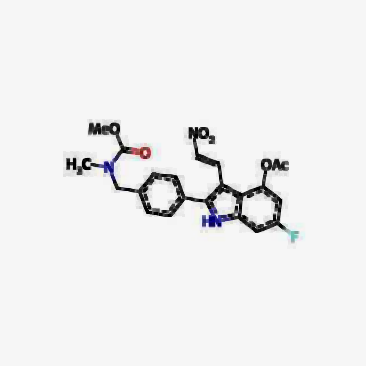 COC(=O)N(C)Cc1ccc(-c2[nH]c3cc(F)cc(OC(C)=O)c3c2/C=C/[N+](=O)[O-])cc1